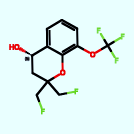 O[C@H]1CC(CF)(CF)Oc2c(OC(F)(F)F)cccc21